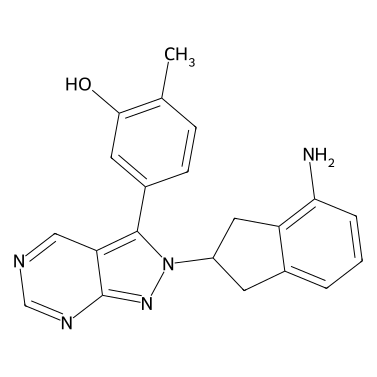 Cc1ccc(-c2c3cncnc3nn2C2Cc3cccc(N)c3C2)cc1O